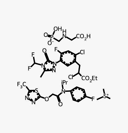 CC(C)N(C(=O)COc1nnc(C(F)(F)F)s1)c1ccc(F)cc1.CCOC(=O)C(Cl)Cc1cc(-n2nc(C)n(C(F)F)c2=O)c(F)cc1Cl.C[S+](C)C.O=C(O)CNCP(=O)([O-])O